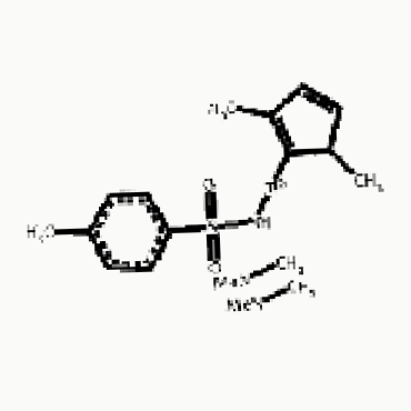 CC1=[C]([Ti+2][NH]S(=O)(=O)c2ccc(C)cc2)C(C)C=C1.C[N-]C.C[N-]C